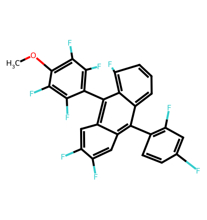 COc1c(F)c(F)c(-c2c3cc(F)c(F)cc3c(-c3ccc(F)cc3F)c3cccc(F)c23)c(F)c1F